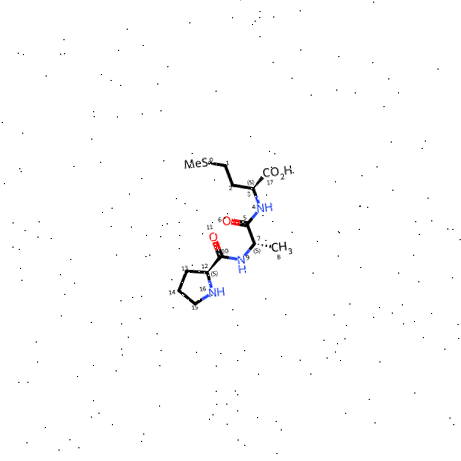 CSCC[C@H](NC(=O)[C@H](C)NC(=O)[C@@H]1CCCN1)C(=O)O